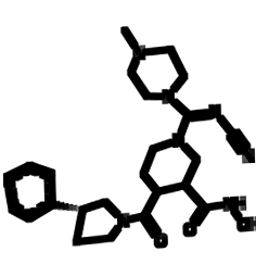 CN1CCN(C(=NC#N)N2CCC(C(=O)N3CC[C@H](c4ccccc4)C3)C(C(=O)NO)C2)CC1